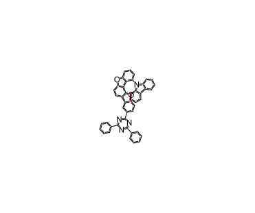 c1ccc(-c2nc(-c3ccccc3)nc(-c3ccc4oc5c(ccc6oc7cccc(-n8c9ccccc9c9ccccc98)c7c65)c4c3)n2)cc1